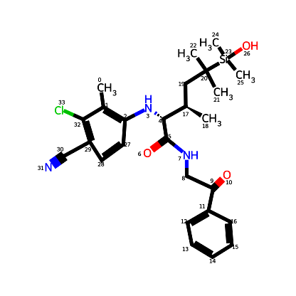 Cc1c(N[C@@H](C(=O)NCC(=O)c2ccccc2)[C@H](C)CC(C)(C)[Si](C)(C)O)ccc(C#N)c1Cl